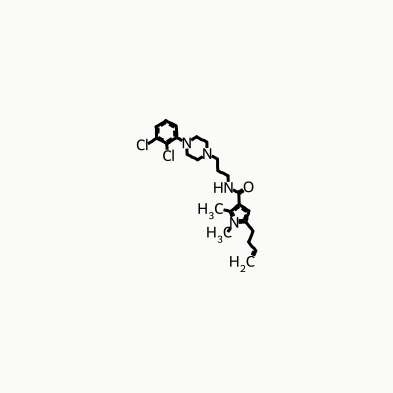 C=CCCc1cc(C(=O)NCCCN2CCN(c3cccc(Cl)c3Cl)CC2)c(C)n1C